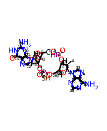 C[C@@H]1[C@@H]2O[PH](=O)OCC3O[C@@H](n4cnc5c(=O)[nH]c(N)nc54)[C@H](O[P@](=O)(S)OC[C@H]2O[C@H]1n1cnc2c(N)ncnc21)[C@@H]3O